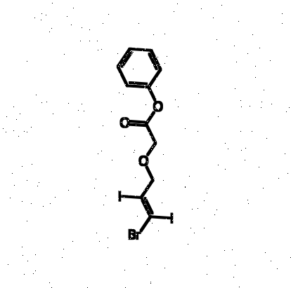 O=C(COC/C(I)=C(/Br)I)Oc1ccccc1